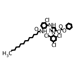 CCCCCCCCCCCCCC(=O)Nc1ccc(Cl)c(Nc2cc(OC(=O)Oc3ccccc3)n(-c3c(Cl)cc(Cl)cc3Cl)n2)c1